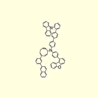 C1#CC(N(c2ccc(-c3ccc(-c4ccccc4-n4c5ccccc5c5ccccc54)cc3)cc2)c2ccc(-c3cccc4oc5ccccc5c34)cc2)/C=C\C(c2cccc(-c3ccc4ccccc4c3)c2)=C/C1